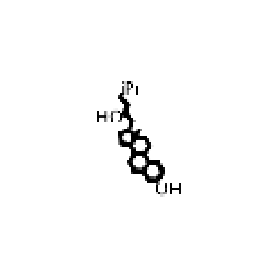 CC(C)CCC(O)CC1CCC2C3CCC4CC(O)CCC4C3CCC12C